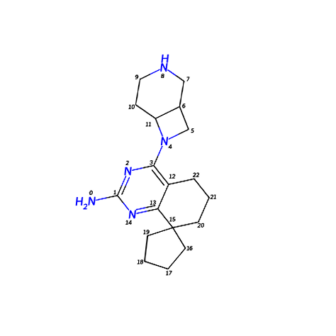 Nc1nc(N2CC3CNCCC32)c2c(n1)C1(CCCC1)CCC2